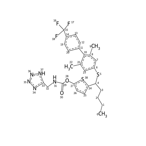 CCCCC(Sc1cc(C)c(-c2ccc(C(F)(F)F)cc2)c(C)c1)c1ccc(OC(=O)NCc2nnn[nH]2)s1